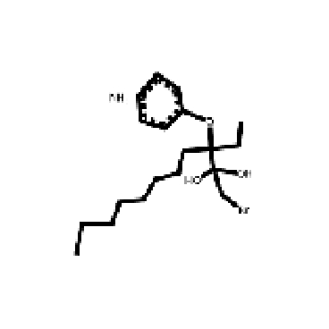 CCCCCCCCC(CC)(Oc1ccccc1)C(O)(O)CBr.N